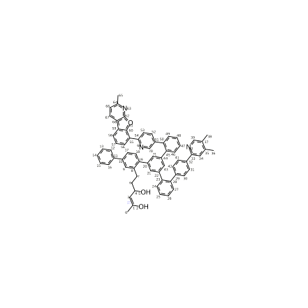 C/C(O)=C/C(O)CCc1cc(-c2ccccc2)ccc1-c1cc(-c2ccccc2-c2ccc(-c3cc(C)c(C)cn3)cc2)cc(-c2ccccc2-c2ccc(-c3cccc4c3oc3nc(C)ccc34)nc2)c1